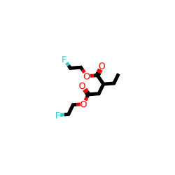 CCC(CC(=O)OCCF)C(=O)OCCF